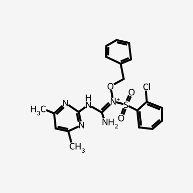 Cc1cc(C)nc(NC(N)=[N+](OCc2ccccc2)S(=O)(=O)c2ccccc2Cl)n1